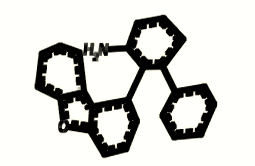 Nc1cccc(-c2ccccc2)c1-c1cccc2oc3ccccc3c12